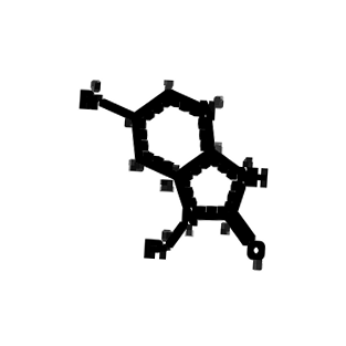 CC(C)n1c(=O)[nH]c2ncc(Br)cc21